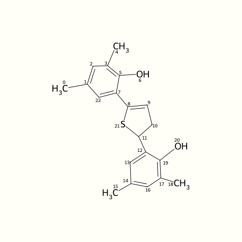 Cc1cc(C)c(O)c(C2=CCC(c3cc(C)cc(C)c3O)S2)c1